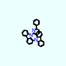 c1ccc(-c2cccc(-n3c4ccccc4c4cccc(-n5c6ccccc6c6ccccc65)c43)n2)cc1